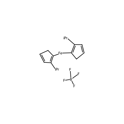 CC(C)C1=[C]([Fe][C]2=C(C(C)C)C=CC2)CC=C1.F[B-](F)(F)F